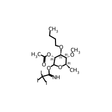 CCCCO[C@H]1[C@H](OC)[C@@H](C)OC(OC(=N)C(I)(I)I)[C@@H]1OC(C)=O